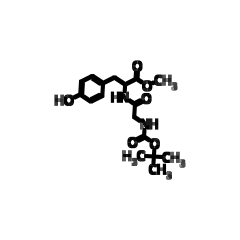 COC(=O)C(Cc1ccc(O)cc1)NC(=O)CNC(=O)OC(C)(C)C